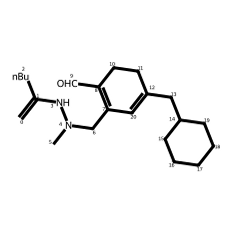 C=C(CCCC)NN(C)CC1=C(C=O)CCC(CC2CCCCC2)=C1